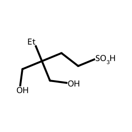 CCC(CO)(CO)CCS(=O)(=O)O